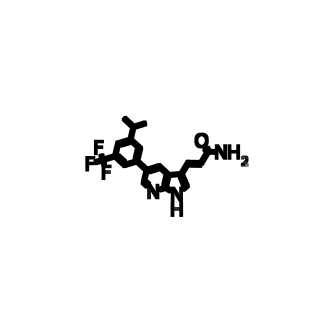 CC(C)c1cc(-c2cnc3[nH]cc(C=CC(N)=O)c3c2)cc(C(F)(F)F)c1